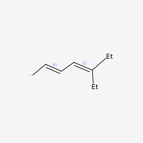 [CH2]/C=C/C=C(/C[CH2])CC